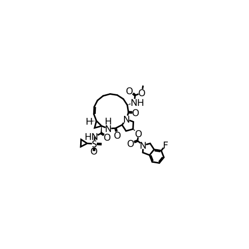 C=S(=O)(NC(=O)[C@@]12C[C@H]1/C=C\CCCCC[C@H](NC(=O)OC)C(=O)N1C[C@H](OC(=O)N3Cc4cccc(F)c4C3)CC1C(=O)N2)C1CC1